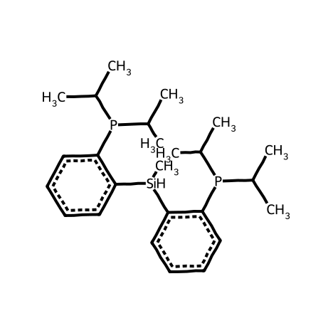 CC(C)P(c1ccccc1[SiH](C)c1ccccc1P(C(C)C)C(C)C)C(C)C